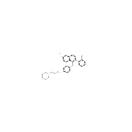 CCc1ccccc1-c1ccc2cc(OC)ccc2c1Cc1ccc(OCCCN2CCCCC2)cc1